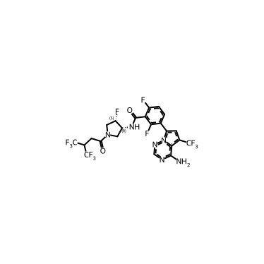 Nc1ncnn2c(-c3ccc(F)c(C(=O)N[C@@H]4CN(C(=O)CC(C(F)(F)F)C(F)(F)F)C[C@@H]4F)c3F)cc(C(F)(F)F)c12